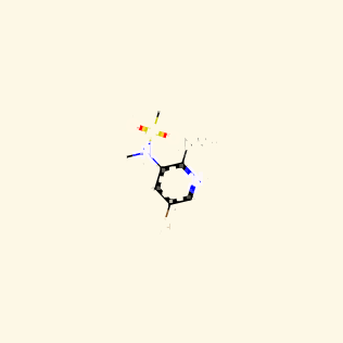 CNc1ncc(Br)cc1N(C)S(C)(=O)=O